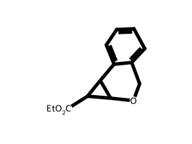 CCOC(=O)C1C2OCc3ccccc3C21